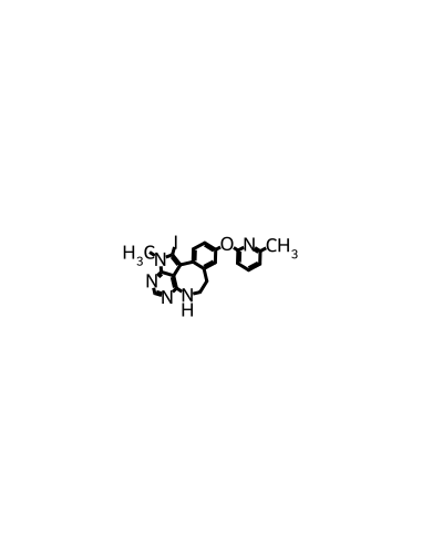 Cc1cccc(Oc2ccc3c(c2)CCNc2ncnc4c2c-3c(I)n4C)n1